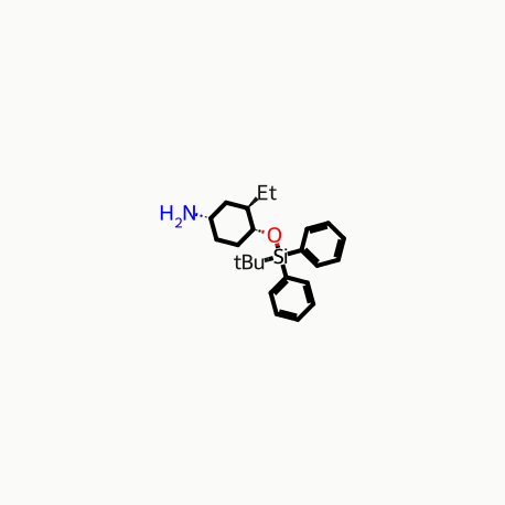 CC[C@@H]1C[C@@H](N)CC[C@H]1O[Si](c1ccccc1)(c1ccccc1)C(C)(C)C